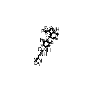 O=C(NCc1ncon1)Nc1cc(F)c(Oc2ccnc3[nH]cc(C(F)(F)F)c23)c(F)c1